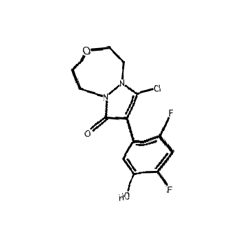 O=c1c(-c2cc(O)c(F)cc2F)c(Cl)n2n1CCOCC2